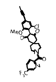 CC#Cc1cc(Cl)c(C2C(=O)CC3(CCN(C(=O)c4ccc(C(F)(F)F)cn4)CC3)CC2=O)c(OC)c1